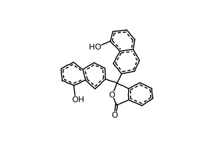 O=C1OC(c2ccc3cccc(O)c3c2)(c2ccc3cccc(O)c3c2)c2ccccc21